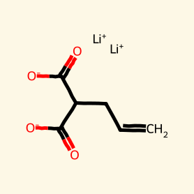 C=CCC(C(=O)[O-])C(=O)[O-].[Li+].[Li+]